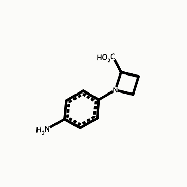 Nc1ccc(N2CCC2C(=O)O)cc1